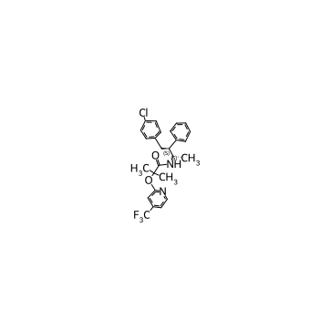 C[C@H](NC(=O)C(C)(C)Oc1cc(C(F)(F)F)ccn1)[C@@H](Cc1ccc(Cl)cc1)c1ccccc1